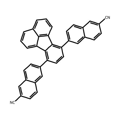 N#Cc1ccc2cc(-c3ccc(-c4ccc5cc(C#N)ccc5c4)c4c3-c3cccc5cccc-4c35)ccc2c1